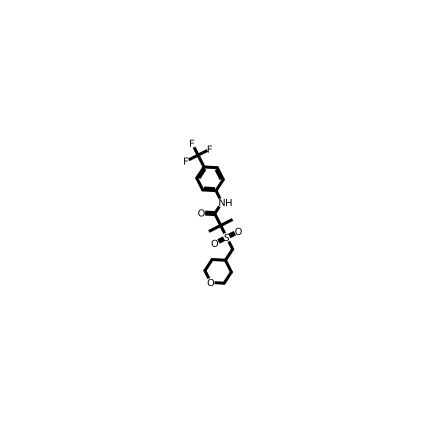 CC(C)(C(=O)Nc1ccc(C(F)(F)F)cc1)S(=O)(=O)CC1CCOCC1